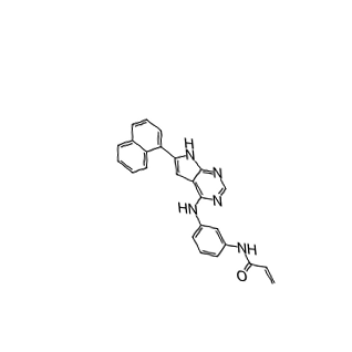 C=CC(=O)Nc1cccc(Nc2ncnc3[nH]c(-c4cccc5ccccc45)cc23)c1